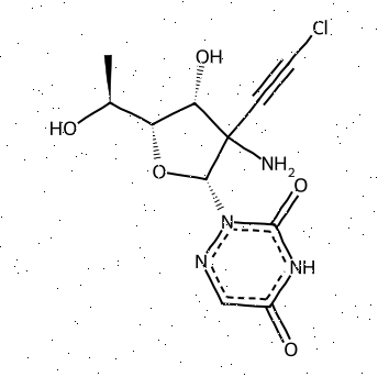 C[C@H](O)[C@H]1O[C@@H](n2ncc(=O)[nH]c2=O)C(N)(C#CCl)[C@H]1O